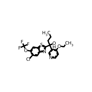 CCCC(O)(c1nc2cc(Cl)c(OC(F)(F)F)cc2s1)c1cnccc1OCC